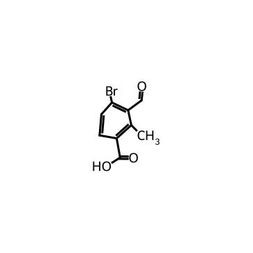 Cc1c(C(=O)O)ccc(Br)c1C=O